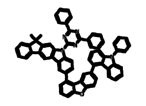 CC1(C)c2ccccc2-c2cc3c4cc(-c5cccc6oc7ccc(-c8cccc9c8c8ccccc8n9-c8ccccc8)cc7c56)ccc4n(-c4nc(-c5ccccc5)nc(-c5ccccc5)n4)c3cc21